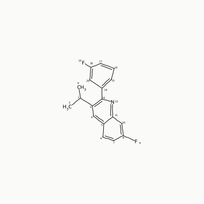 CC(C)c1cc2ccc(F)cc2nc1-c1cccc(F)c1